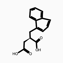 O=C(O)C[C@@H](Cc1cccc2ccccc12)C(=O)O